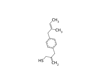 C=C(CS)Cc1ccc(C/C(C)=C/C)cc1